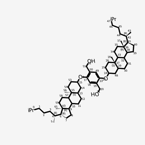 CC(C)CCC[C@@H](C)[C@H]1CCC2C3CCC4CC(Oc5cc(CO)c(OC6CC[C@@]7(C)C(CCC8C7CC[C@@]7(C)C8CC[C@@H]7[C@H](C)CCCC(C)C)C6)cc5CO)CC[C@]4(C)C3CC[C@@]21C